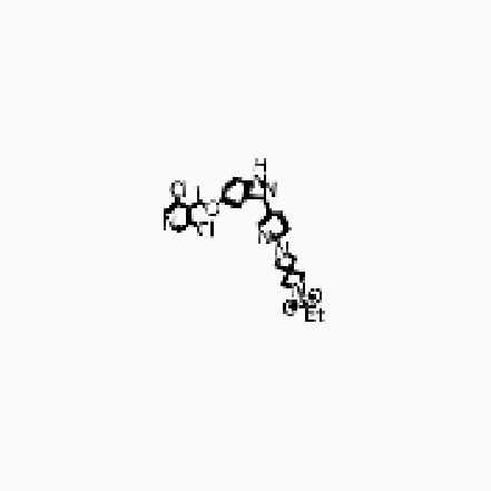 CCS(=O)(=O)N1CC2(CN(c3ccc(-c4n[nH]c5ccc(O[C@H](C)c6c(Cl)cncc6Cl)cc45)cn3)C2)C1